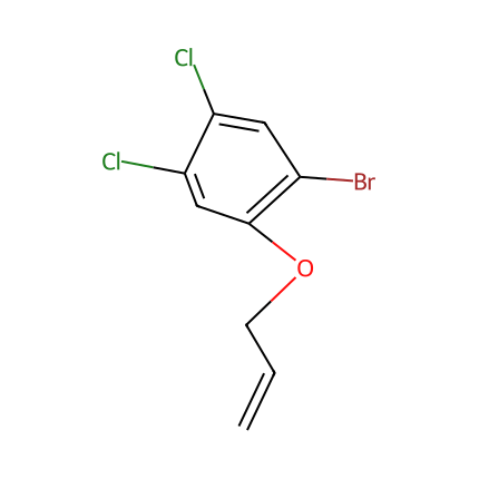 C=CCOc1cc(Cl)c(Cl)cc1Br